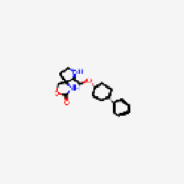 O=C1NC2(CCNC2CO[C@H]2CC[C@@H](c3ccccc3)CC2)CO1